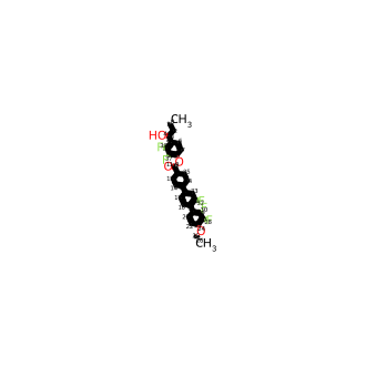 CCCC(O)c1ccc(OC(=O)C2CC=C(c3ccc(-c4ccc(OCC)c(F)c4F)c(F)c3)CC2)c(F)c1F